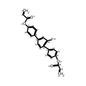 C=CC(=O)OC1=C=C=C(c2ccc(-c3ccc(OC(=O)C=C)cc3)c(F)c2)C=C1